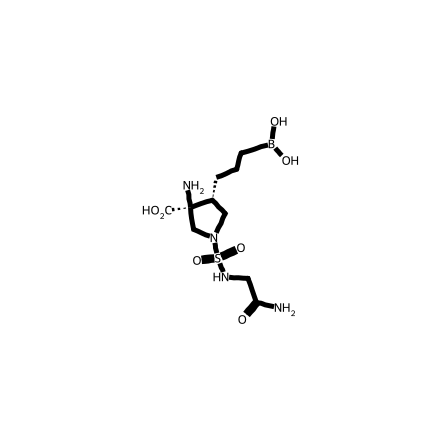 NC(=O)CNS(=O)(=O)N1C[C@@H](CCCB(O)O)[C@@](N)(C(=O)O)C1